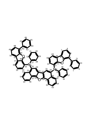 c1ccc(-c2cccc3c2oc2c(N(c4ccccc4)c4cc5c6cc(N(c7ccccc7)c7cccc8c7oc7c(-c9ccccc9)cccc78)c7ccccc7c6oc5c5ccccc45)cccc23)cc1